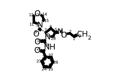 C=CCON=C1C[C@@H](C(=O)N2CCOCC2)N(C(=O)NC(=O)c2ccccc2)C1